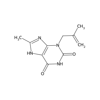 C=C(C)Cn1c(=O)[nH]c(=O)c2[nH]c(C)nc21